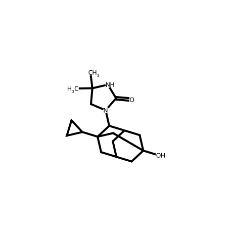 CC1(C)CN(C2C3CC4CC(O)(C3)CC2(C2CC2)C4)C(=O)N1